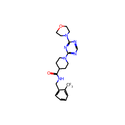 O=C(NCc1ccccc1C(F)(F)F)C1CCN(c2ncnc(N3CCOCC3)n2)CC1